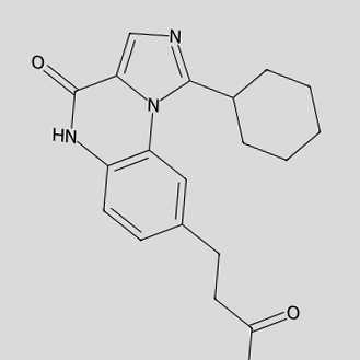 COC(=O)CCc1ccc2[nH]c(=O)c3cnc(C4CCCCC4)n3c2c1